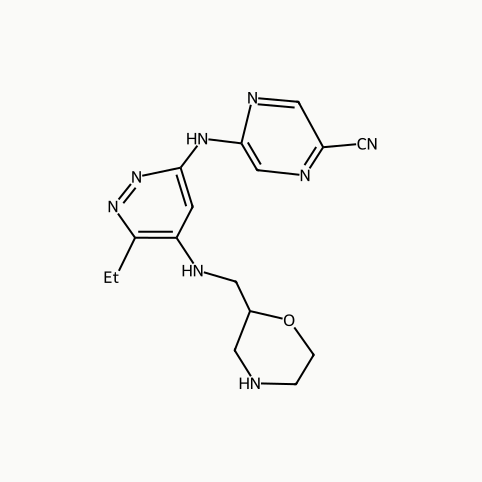 CCc1nnc(Nc2cnc(C#N)cn2)cc1NCC1CNCCO1